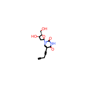 C#CCC#Cc1cn([C@H]2C[C@@H](O)[C@@H](CO)O2)c(=O)[nH]c1=O